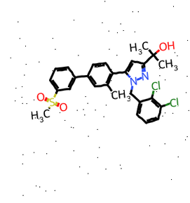 Cc1cc(-c2cccc(S(C)(=O)=O)c2)ccc1-c1cc(C(C)(C)O)nn1Cc1cccc(Cl)c1Cl